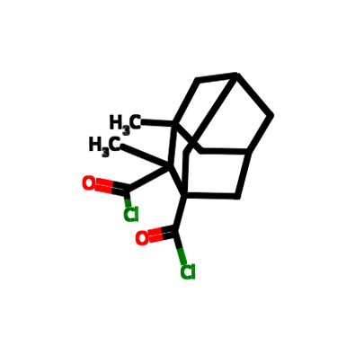 CC12CC3CC(C1)CC(C(=O)Cl)(C3)C2(C)C(=O)Cl